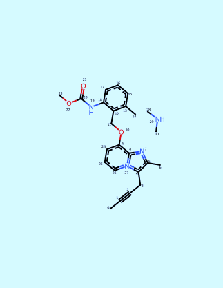 CC#CCc1c(C)nc2c(OCc3c(C)cccc3NC(=O)OC)cccn12.CNC